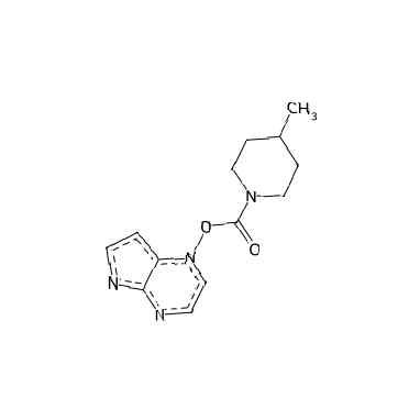 CC1CCN(C(=O)On2ccnc3nccc2-3)CC1